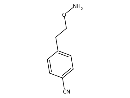 N#Cc1ccc(CCON)cc1